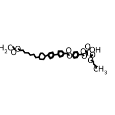 C=CC(=O)OCCCCCCCC1CCC(c2ccc(-c3ccc(C(=O)Oc4ccc(C5O[C@@H](C(=O)O)[C@H](C(=O)OCCCC)O5)cc4)cc3)cc2)CC1